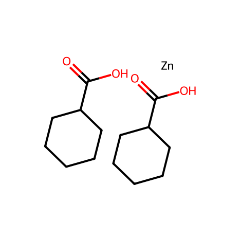 O=C(O)C1CCCCC1.O=C(O)C1CCCCC1.[Zn]